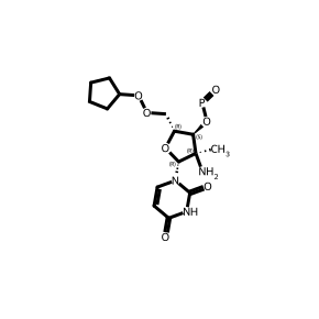 C[C@@]1(N)[C@H](OP=O)[C@@H](COOC2CCCC2)O[C@H]1n1ccc(=O)[nH]c1=O